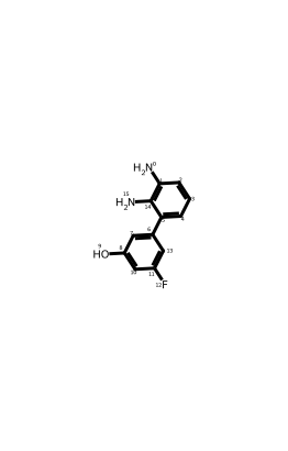 Nc1cccc(-c2cc(O)cc(F)c2)c1N